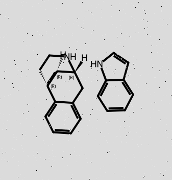 c1ccc2[nH]ccc2c1.c1ccc2c(c1)C[C@H]1NCC[C@@]23CCCC[C@@H]13